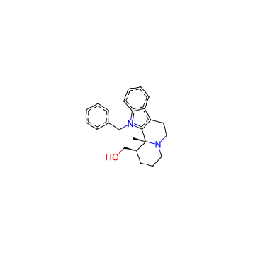 C[C@@]12c3c(c4ccccc4n3Cc3ccccc3)CCN1CCC[C@H]2CO